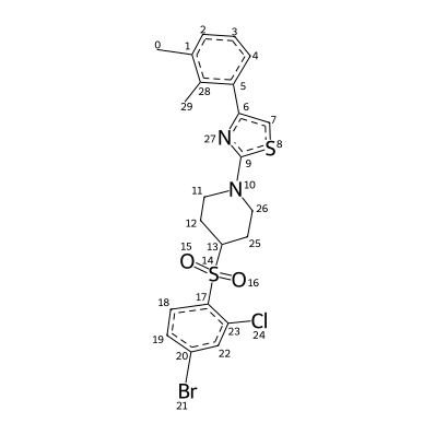 Cc1cccc(-c2csc(N3CCC(S(=O)(=O)c4ccc(Br)cc4Cl)CC3)n2)c1C